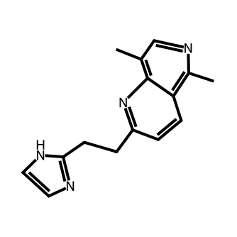 Cc1ncc(C)c2nc(CCc3ncc[nH]3)ccc12